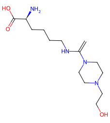 C=C(NCCCC[C@H](N)C(=O)O)N1CCN(CCO)CC1